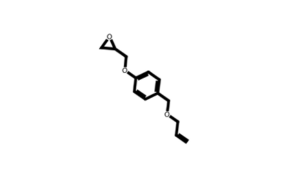 C=CCOCc1ccc(OCC2CO2)cc1